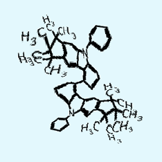 CC1(C)c2cc3c4c(-c5cccc6c5c5cc7c(cc5n6-c5ccccc5)C(C)(C)C(C)(C)C7(C)C)cccc4n(-c4ccccc4)c3cc2C(C)(C)C1(C)C